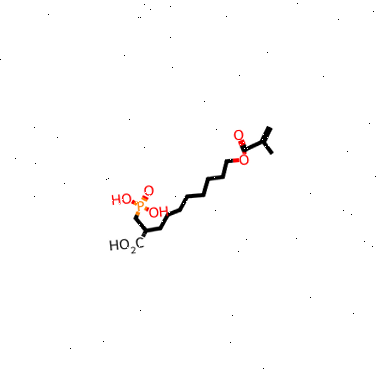 C=C(C)C(=O)OCCCCCCCCC(CP(=O)(O)O)C(=O)O